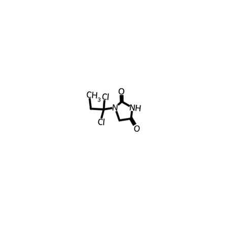 CCC(Cl)(Cl)N1CC(=O)NC1=O